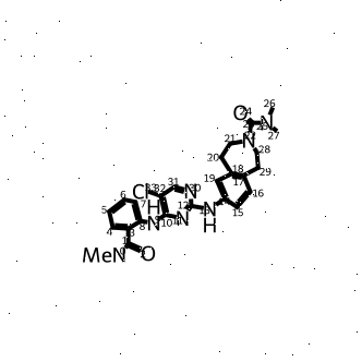 CNC(=O)c1ccccc1Nc1nc(Nc2ccc3c(c2)CCN(C(=O)N(C)C)CC3)ncc1Cl